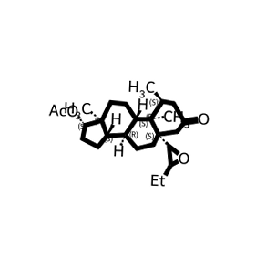 CCC1OC1[C@]12CC[C@H]3[C@@H]4CC[C@H](OC(C)=O)[C@@]4(C)CC[C@@H]3[C@@]1(C)[C@@H](C)CC(=O)C2